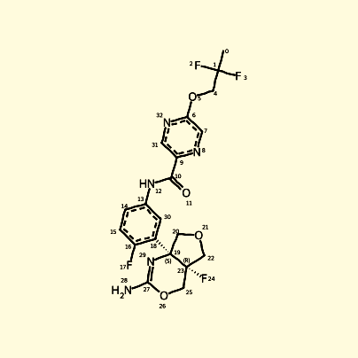 CC(F)(F)COc1cnc(C(=O)Nc2ccc(F)c([C@]34COC[C@@]3(F)COC(N)=N4)c2)cn1